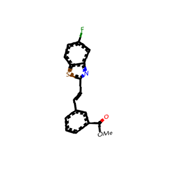 COC(=O)c1cccc(C=Cc2nc3cc(F)ccc3s2)c1